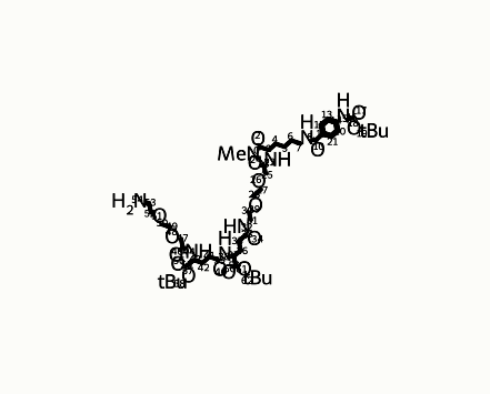 CNC(=O)C(CCCCNC(=O)c1ccc(NC(=O)OC(C)(C)C)cc1)NC(=O)COCCOCCNC(=O)CCC(NC(=O)CCC(NC(=O)COCCOCCN)C(=O)OC(C)(C)C)C(=O)OC(C)(C)C